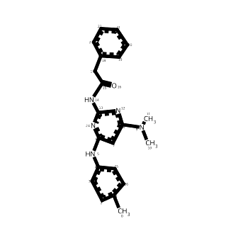 Cc1ccc(Nc2cc(N(C)C)nc(NC(=O)Cc3ccccc3)n2)cc1